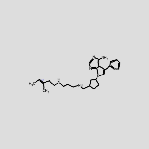 C/C=C(\C)CCNCCCNCC1CCC(n2cc(-c3ccccc3)c3c(N)ncnc32)C1